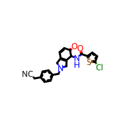 N#CCc1ccc(CN2CC3=C(C2)C(NC(=O)c2ccc(Cl)s2)C(=O)C=C3)cc1